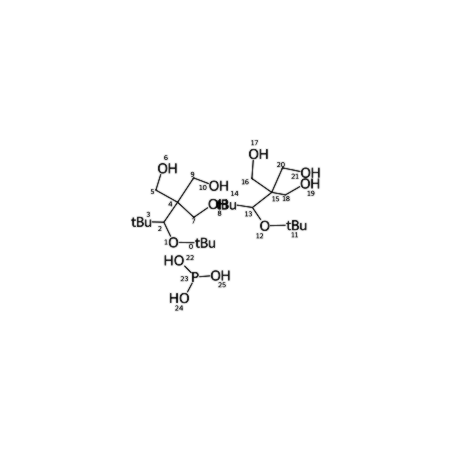 CC(C)(C)OC(C(C)(C)C)C(CO)(CO)CO.CC(C)(C)OC(C(C)(C)C)C(CO)(CO)CO.OP(O)O